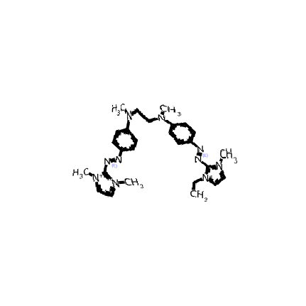 CC[n+]1ccn(C)c1/N=N/c1ccc(N(C)CCN(C)c2ccc(/N=N/c3n(C)cc[n+]3C)cc2)cc1